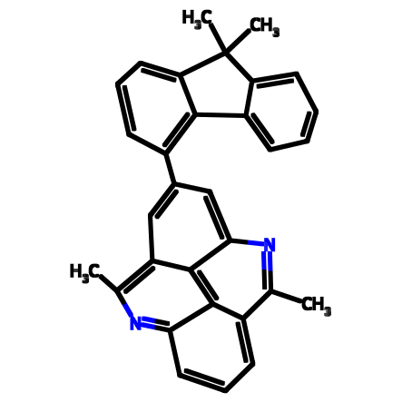 Cc1nc2cc(-c3cccc4c3-c3ccccc3C4(C)C)cc3c(C)nc4cccc1c4c23